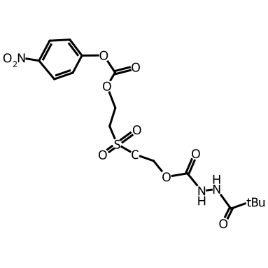 CC(C)(C)C(=O)NNC(=O)OCCS(=O)(=O)CCOC(=O)Oc1ccc([N+](=O)[O-])cc1